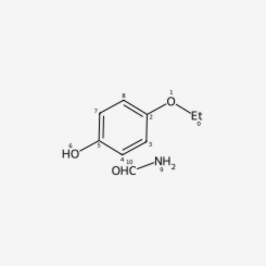 CCOc1ccc(O)cc1.NC=O